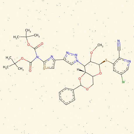 COC1C(n2cc(-c3csc(N(C(=O)OC(C)(C)C)C(=O)OC(C)(C)C)n3)nn2)[C@H]2OC(c3ccccc3)OCC2O[C@@H]1Sc1cc(Br)cnc1C#N